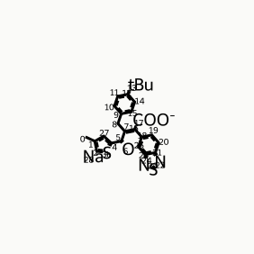 Cc1csc(C(=O)C(Cc2ccc(C(C)(C)C)cc2)=C(C(=O)[O-])c2ccc3nsnc3c2)c1.[Na+]